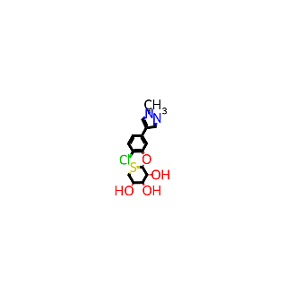 Cn1cc(-c2ccc(Cl)c(O[C@H]3SC[C@@H](O)[C@H](O)[C@H]3O)c2)cn1